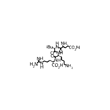 CC[C@H](C)[C@H](NC(=O)[C@@H](N)CCC(=O)O)C(=O)N[C@@H](CCCCN)C(=O)N[C@@H](CCCNC(=N)N)C(=O)O